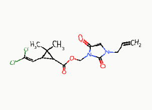 C=CCN1CC(=O)N(COC(=O)C2C(C=C(Cl)Cl)C2(C)C)C1=O